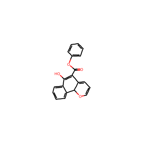 O=C(Oc1ccccc1)C1=C(O)c2ccccc2C2OC=CC=C12